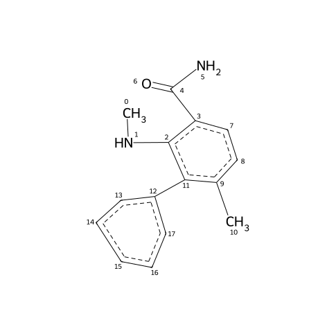 CNc1c(C(N)=O)ccc(C)c1-c1ccccc1